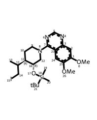 COc1cc2ncnc(N3CC[C@H](C(C)CI)[C@@H](O[Si](C)(C)C(C)(C)C)C3)c2cc1OC